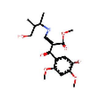 COC(=O)C(=CNC(C)C(C)CO)C(=O)c1cc(Br)c(OC)cc1OC